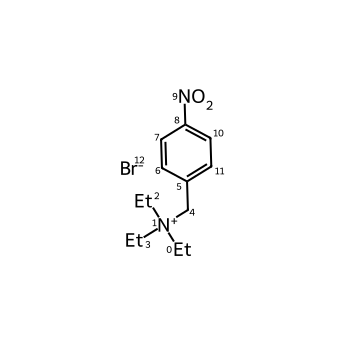 CC[N+](CC)(CC)Cc1ccc([N+](=O)[O-])cc1.[Br-]